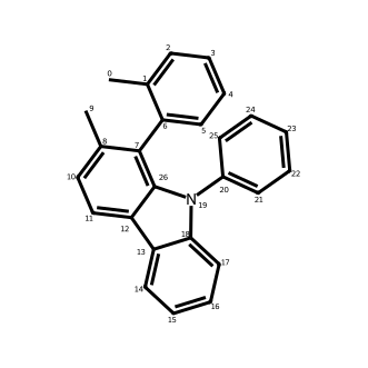 Cc1ccccc1-c1c(C)ccc2c3ccccc3n(-c3ccccc3)c12